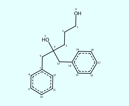 OCCCC(O)(Cc1ccccc1)Cc1ccccc1